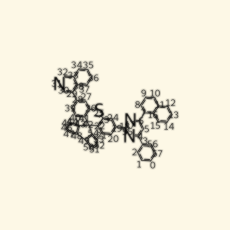 c1ccc(-c2cc(-c3cccc4ccccc34)nc(-c3ccc4c(c3)Sc3cc(-c5cncc6ccccc56)ccc3C43c4ccccc4-c4ccccc43)n2)cc1